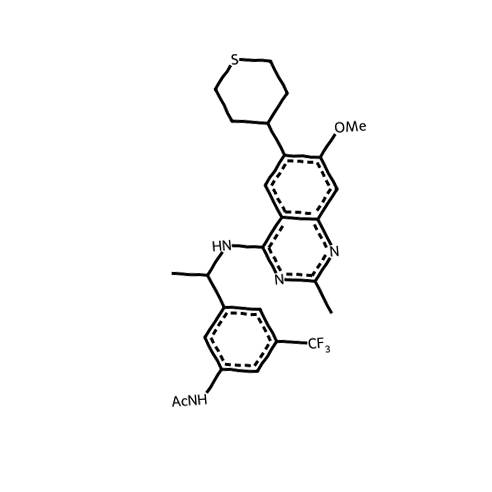 COc1cc2nc(C)nc(NC(C)c3cc(NC(C)=O)cc(C(F)(F)F)c3)c2cc1C1CCSCC1